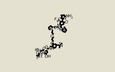 CCC(C)(F)C(=O)N[C@@H](C(=O)N1C[C@H](O)C[C@H]1C(=O)NCc1ccc(-c2scnc2C)cc1OCCCOCCCN1CCC[C@H]1COc1nc(N2CC3CCC(C2)N3)c2cc(Cl)c(-c3nc(N)cc(C)c3C(F)(F)F)c(F)c2n1)C(C)(C)C